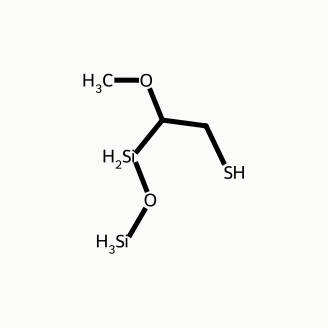 COC(CS)[SiH2]O[SiH3]